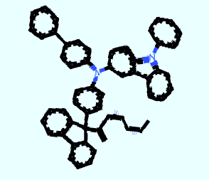 C=C(/C=C\C=C/C)C1(c2ccc(N(c3ccc(-c4ccccc4)cc3)c3ccc4c(c3)c3ccccc3n4-c3ccccc3)cc2)c2ccccc2-c2ccccc21